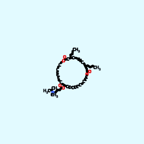 CCCCC1CCCCCCC(CCCC)CC(=O)OCCCCCCCCCCC(OC(=O)CCCN(C)C(C)C)CCCCCCCCCCOC(=O)C1